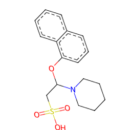 O=S(=O)(O)CC(Oc1cccc2ccccc12)N1CCCCC1